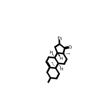 CCC1C[C@H]2[C@@H]3CC=C4CC(C)CC[C@]4(C)[C@@H]3CC[C@]2(C)C1=O